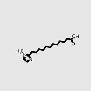 Cn1ccnc1CCCCCCCCCCCC(=O)O